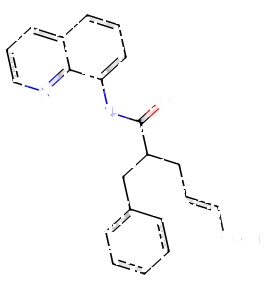 O=C(O)/C=C/CC(Cc1ccccc1)C(=O)Nc1cccc2cccnc12